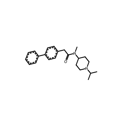 CC(C)N1CCC(N(C)C(=O)Cc2ccc(-c3ccccc3)cc2)CC1